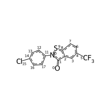 O=c1c2cc(C(F)(F)F)ccc2sn1-c1ccc(Cl)cc1